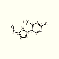 Cc1cc(F)ccc1-c1ccc(C=O)o1